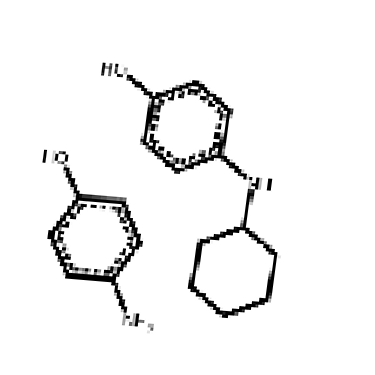 Nc1ccc(O)cc1.Oc1ccc(NC2CCCCC2)cc1